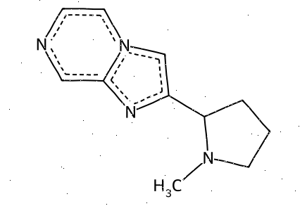 CN1CCCC1c1cn2ccncc2n1